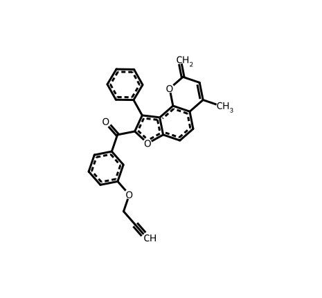 C#CCOc1cccc(C(=O)c2oc3ccc4c(c3c2-c2ccccc2)OC(=C)C=C4C)c1